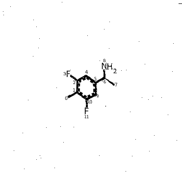 Cc1c(F)cc([C@H](C)N)cc1F